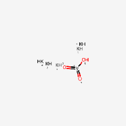 [KH].[KH].[KH].[KH].[KH].[O]=[V](=[O])[OH]